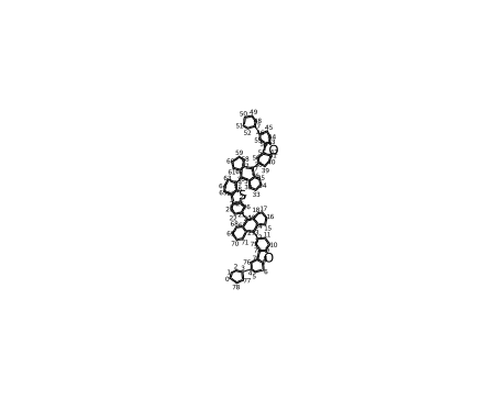 c1ccc(-c2ccc3oc4ccc(-c5c6ccccc6c(-c6ccc7c(c6)sc6c(-c8c9ccccc9c(-c9ccc%10oc%11ccc(-c%12ccccc%12)cc%11c%10c9)c9ccccc89)cccc67)c6ccccc56)cc4c3c2)cc1